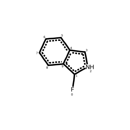 Fc1[nH]cc2ccccc12